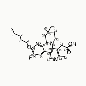 CCCCCOc1ncc(-c2cnc(C)c(CC(=O)O)c2N2CCC(C)(C)CC2)cc1F